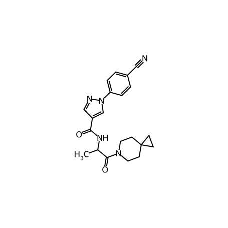 CC(NC(=O)c1cnn(-c2ccc(C#N)cc2)c1)C(=O)N1CCC2(CC1)CC2